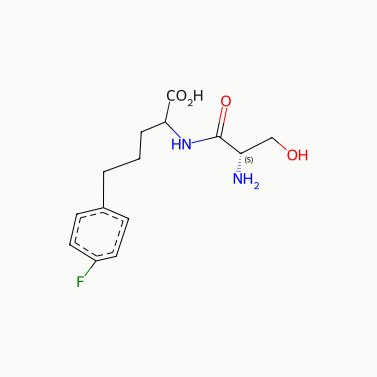 N[C@@H](CO)C(=O)NC(CCCc1ccc(F)cc1)C(=O)O